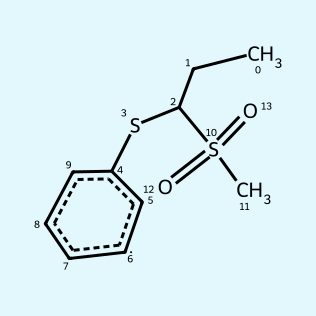 CCC(Sc1c[c]ccc1)S(C)(=O)=O